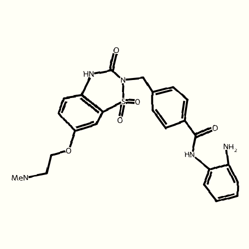 CNCCOc1ccc2c(c1)S(=O)(=O)N(Cc1ccc(C(=O)Nc3ccccc3N)cc1)C(=O)N2